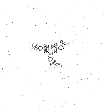 CCC(F)(F)c1ccc(CNC(=O)C2CN(C(=O)Nc3ccnc(C(=O)O)c3)CCN2S(=O)(=O)c2ccc(OC(F)(F)F)cc2)cc1